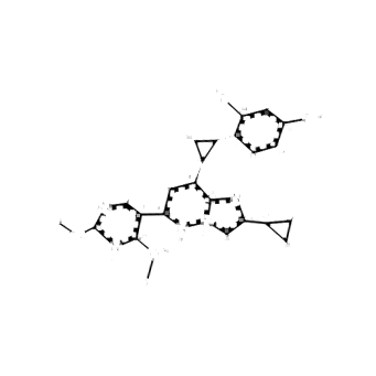 COc1ncc(-c2cc([C@H]3C[C@@H]3c3ccc(F)cc3F)c3nc(C4CC4)cn3n2)c(OC)n1